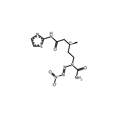 C[C@H]([CH]C(=O)Nc1nccs1)CCN(N=N[N+](=O)[O-])C(N)=O